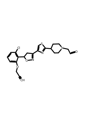 C#CCOc1cccc(Cl)c1C1CC(c2csc(C3CCN(CC=O)CC3)n2)=NO1